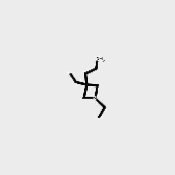 CCN1CC(CC)(CCN)C1